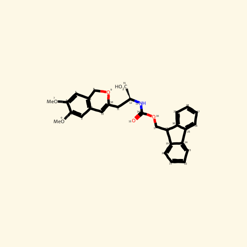 COc1cc2c(cc1OC)COC(C[C@H](NC(=O)OCC1c3ccccc3-c3ccccc31)C(=O)O)=C2